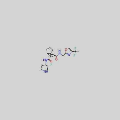 CC(F)(F)c1coc(CNC(=O)C2C(C(=O)N[C@@H]3CCNC[C@H]3F)C3CCC2C32CC2)n1